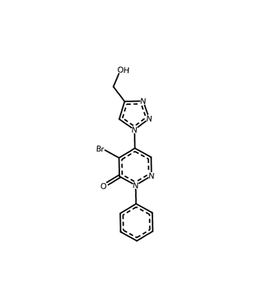 O=c1c(Br)c(-n2cc(CO)nn2)cnn1-c1ccccc1